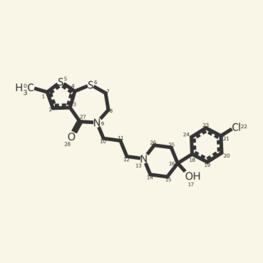 Cc1cc2c(s1)SCCN(CCCN1CCC(O)(c3ccc(Cl)cc3)CC1)C2=O